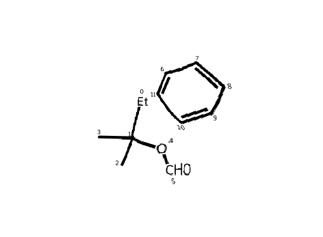 CCC(C)(C)OC=O.c1ccccc1